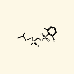 Cc1cccc(Cl)c1S(=O)(=O)OCP(C)(=O)OOC(C)C